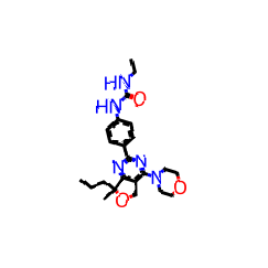 CCCC1(C)OCc2c(N3CCOCC3)nc(-c3ccc(NC(=O)NCC)cc3)nc21